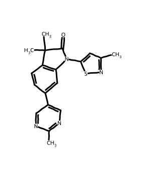 Cc1cc(N2C(=O)C(C)(C)c3ccc(-c4cnc(C)nc4)cc32)sn1